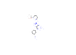 N#Cc1cccc(-c2nc(N)nc3c2nnn3Cc2cccc(C3(O)CCCC3)n2)c1